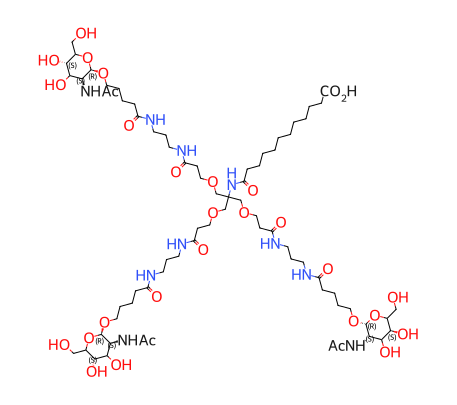 CC(=O)N[C@H]1C(O)[C@H](O)C(CO)O[C@H]1OCCCCC(=O)NCCCNC(=O)CCOCC(COCCC(=O)NCCCNC(=O)CCCCO[C@@H]1OC(CO)[C@@H](O)C(O)[C@@H]1NC(C)=O)(COCCC(=O)NCCCNC(=O)CCCCO[C@@H]1OC(CO)[C@@H](O)C(O)[C@@H]1NC(C)=O)NC(=O)CCCCCCCCCCC(=O)O